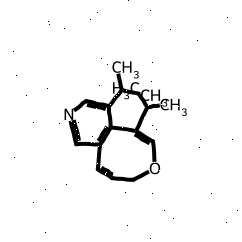 CC(C)/C1=C/OC/C=C\c2cncc(C(C)C)c21